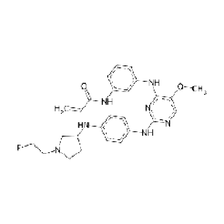 C=CC(=O)Nc1cccc(Nc2nc(Nc3ccc(NC4CCN(CCF)C4)cc3)ncc2OC)c1